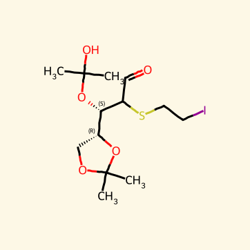 CC(C)(O)O[C@H](C(C=O)SCCI)[C@H]1COC(C)(C)O1